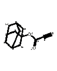 C#CC(=O)OC12CC3CC(CC(C3)C1)C2